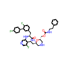 NC(=O)[C@H](Cc1ccc(F)c(-c2ccc(F)cc2)c1)Nc1cncc(F)c1CC[C@@H]1CNC[C@@H](COC(=O)NCCc2ccccc2)O1